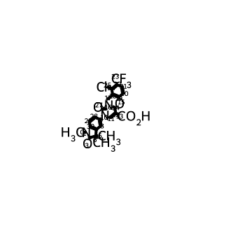 CN1C(=O)C(C)(C)c2cc(-n3cc(C(=O)O)c(=O)n(Cc4cccc(C(F)(F)F)c4Cl)c3=O)ccc21